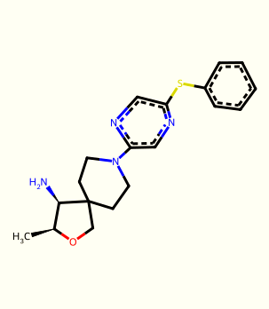 C[C@@H]1OCC2(CCN(c3cnc(Sc4ccccc4)cn3)CC2)[C@@H]1N